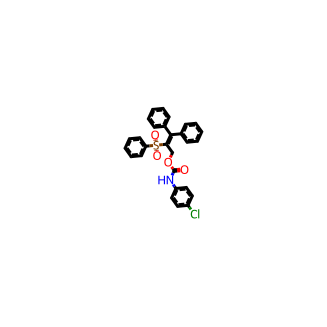 O=C(Nc1ccc(Cl)cc1)OCC(=C(c1ccccc1)c1ccccc1)S(=O)(=O)c1ccccc1